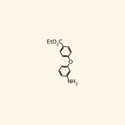 CCOC(=O)c1ccc(Oc2cccc(N)c2)cc1